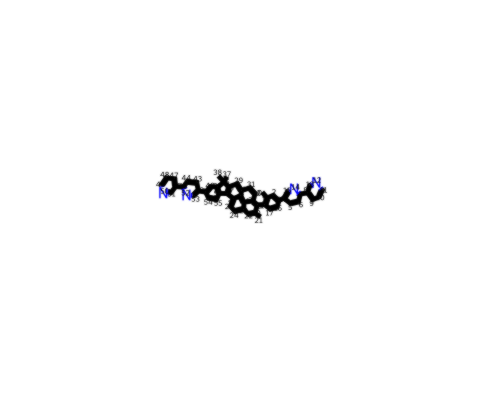 Cc1cc(-c2ccc(-c3cccnc3)nc2)ccc1-c1c(C)cc2ccc3c4c(cc5ccc1c2c53)C(C)(C)c1cc(-c2ccc(-c3cccnc3)nc2)ccc1-4